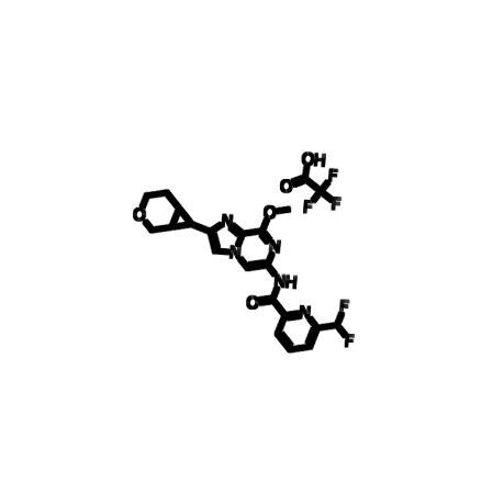 COc1nc(NC(=O)c2cccc(C(F)F)n2)cn2cc(C3C4CCOCC43)nc12.O=C(O)C(F)(F)F